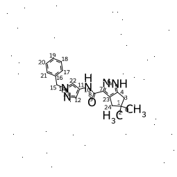 CC1(C)Cc2[nH]nc(C(=O)Nc3cnn(Cc4ccccc4)c3)c2C1